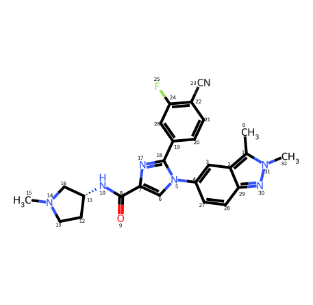 Cc1c2cc(-n3cc(C(=O)N[C@@H]4CCN(C)C4)nc3-c3ccc(C#N)c(F)c3)ccc2nn1C